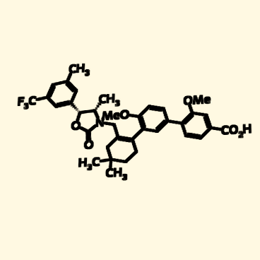 COc1ccc(-c2ccc(C(=O)O)cc2OC)cc1C1=C(CN2C(=O)O[C@H](c3cc(C)cc(C(F)(F)F)c3)[C@@H]2C)CC(C)(C)CC1